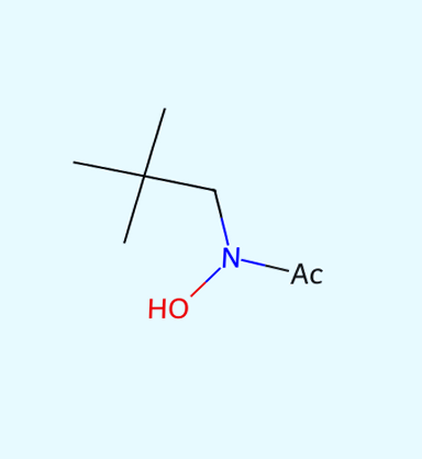 CC(=O)N(O)CC(C)(C)C